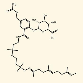 BC(=O)OCc1ccc(O[C@@H]2O[C@H](C(=O)O)[C@@H](O)[C@H](O)[C@H]2O)c(C(=O)NCCC(C)(C)OCCC(C)(C)O/N=C(\C)CC/C(C)=C/CC/C(C)=C/C)c1